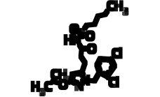 CCCCCS(=O)(=O)NC(=O)CCc1cc(OC(C)C)nn1Cc1ccc(Cl)cc1Cl